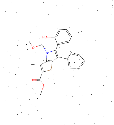 COCn1c(-c2ccccc2O)c(-c2ccccc2)c2sc(C(=O)OC)c(C)c21